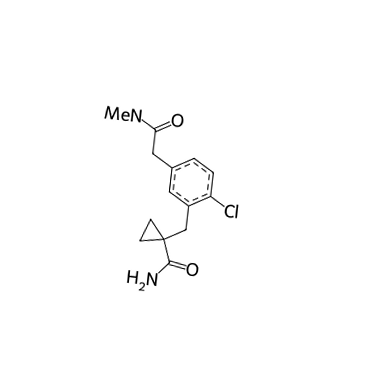 CNC(=O)Cc1ccc(Cl)c(CC2(C(N)=O)CC2)c1